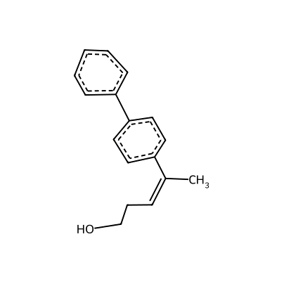 C/C(=C/CCO)c1ccc(-c2ccccc2)cc1